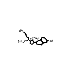 CCCC1C(C(C)CCCC(C)C)CCC1C1CCC2=CC(O)CCC2(C)C1